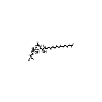 CCCCCCCCCCCCC/C=C/[C@@H](O)[C@H](COP(=O)(O)OCCN(C)C)NC(C)=O